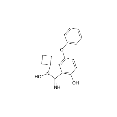 N=C1c2c(O)ccc(Oc3ccccc3)c2C2(CCC2)N1O